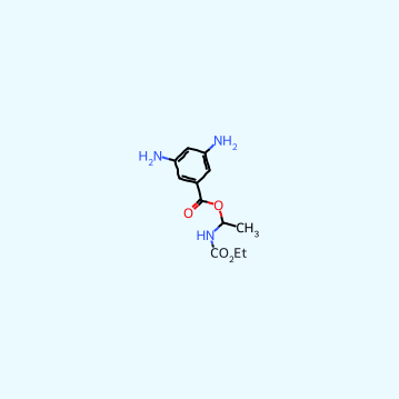 CCOC(=O)NC(C)OC(=O)c1cc(N)cc(N)c1